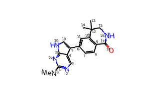 CNc1ncc2c(-c3ccc4c(c3)C(C)(C)CNC4=O)c[nH]c2n1